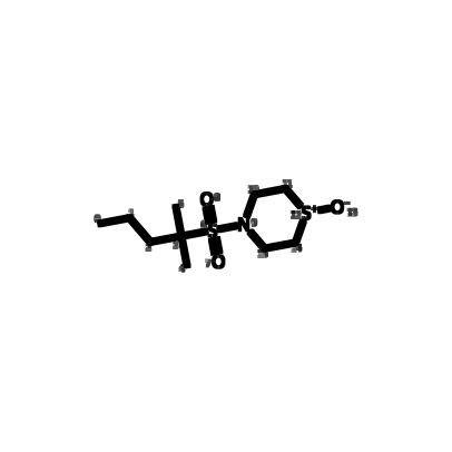 CCCC(C)(C)S(=O)(=O)N1CC[S+]([O-])CC1